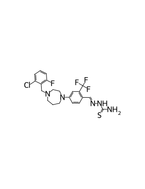 NC(=S)NN=Cc1ccc(N2CCCN(Cc3c(F)cccc3Cl)CC2)cc1C(F)(F)F